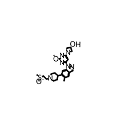 COc1nc(N2CC(O)C2)cc(-n2ncc3cc(C)c(C4CCN(CC[S+](C)[O-])CC4)cc32)n1